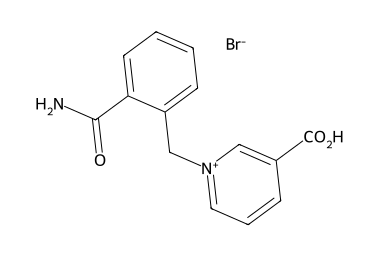 NC(=O)c1ccccc1C[n+]1cccc(C(=O)O)c1.[Br-]